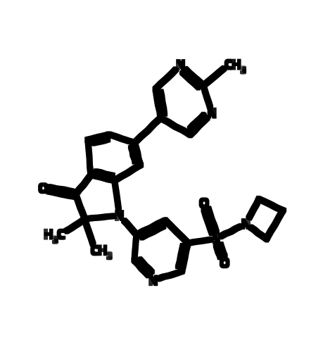 Cc1ncc(-c2ccc3c(c2)N(c2cncc(S(=O)(=O)N4CCC4)c2)C(C)(C)C3=O)cn1